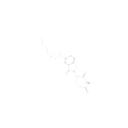 CCCCCC(C)(C)CC(C)c1ccc2c(c1)C(=O)N(C1CCC(=O)NC1=O)C2